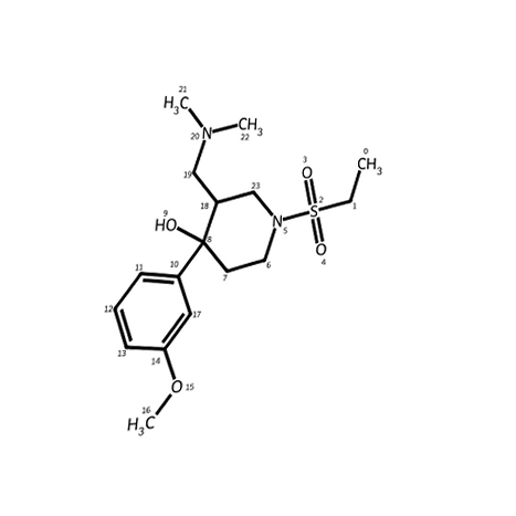 CCS(=O)(=O)N1CCC(O)(c2cccc(OC)c2)C(CN(C)C)C1